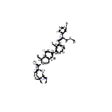 C/C=C(\S/C(=C/C)C(C)(C)C)C(=O)NC(C)c1ccc(-c2ncnc(/C=C(\CCC)c3cnn(C)c3)c2C)cc1C